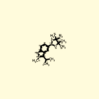 CC(C)c1c2cc(B3OC(C)(C)C(C)(C)O3)ccc2nn1C